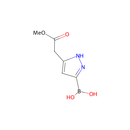 COC(=O)Cc1cc(B(O)O)n[nH]1